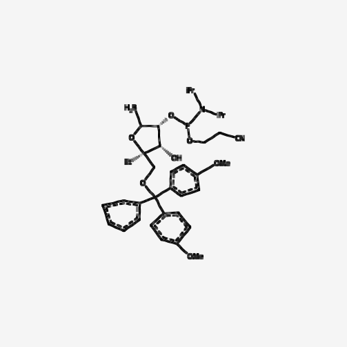 BC1O[C@](CC)(COC(c2ccccc2)(c2ccc(OC)cc2)c2ccc(OC)cc2)[C@@H](O)[C@H]1OP(OCCC#N)N(C(C)C)C(C)C